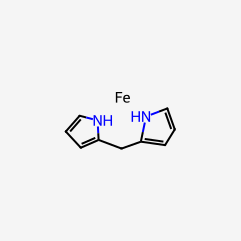 [Fe].c1c[nH]c(Cc2ccc[nH]2)c1